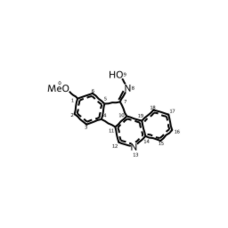 COc1ccc2c(c1)C(=NO)c1c-2cnc2ccccc12